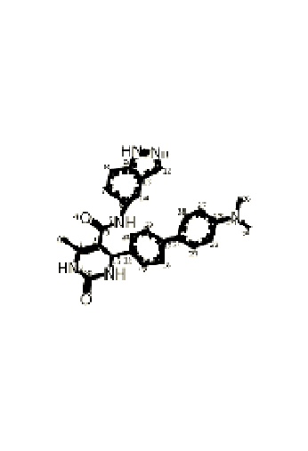 CC1=C(C(=O)Nc2ccc3[nH]ncc3c2)C(c2ccc(-c3ccc(N(C)C)cc3)cc2)NC(=O)N1